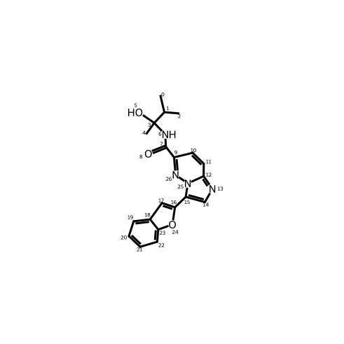 CC(C)C(C)(O)NC(=O)c1ccc2ncc(-c3cc4ccccc4o3)n2n1